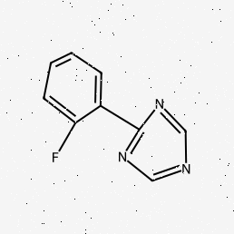 Fc1ccccc1-c1ncncn1